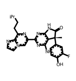 CC(C)CCc1nc(-c2nc(N)c3c(n2)NC(=O)[C@]3(C)c2ccc(O)c(F)c2)cn2ccnc12